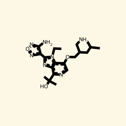 CCn1c(-c2nonc2N)nc2c(C(C)(C)O)ncc(OCC(CN)CC(C)C)c21